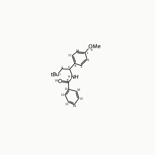 COc1ccc(C(CC(C)(C)C)NC(=O)c2ccccc2)cc1